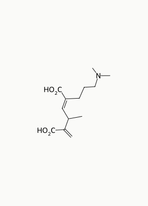 C=C(C(=O)O)C(C)C=C(CCCN(C)C)C(=O)O